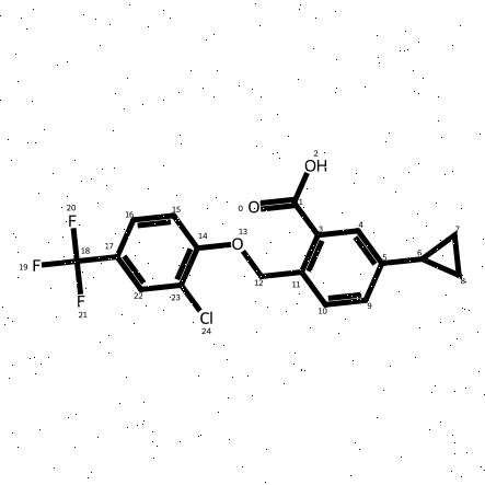 O=C(O)c1cc(C2CC2)ccc1COc1ccc(C(F)(F)F)cc1Cl